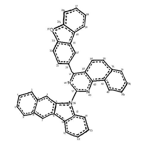 c1ccc2cc3c(cc2c1)c1ccccc1n3-c1nc(-c2ccc3oc4ccccc4c3c2)c2ccc3ccccc3c2n1